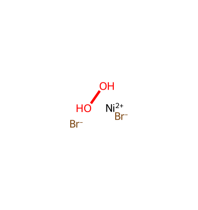 OO.[Br-].[Br-].[Ni+2]